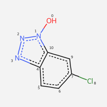 On1nnc2[c]cc(Cl)cc21